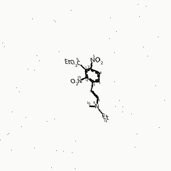 CCOC(=O)c1c([N+](=O)[O-])ccc(/C=C/N(C)CC)c1[N+](=O)[O-]